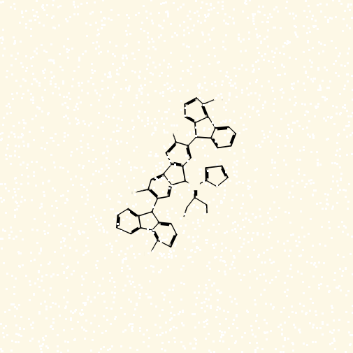 CC(C)C[C](CC(C)C)=[Zr+2]([C]1=CC=CC1)[CH]1c2cc(C3c4ccccc4-c4c3cccc4C(C)(C)C)c(C(C)(C)C)cc2-c2cc(C(C)(C)C)c(C3c4ccccc4-c4c3cccc4C(C)(C)C)cc21.[Cl-].[Cl-]